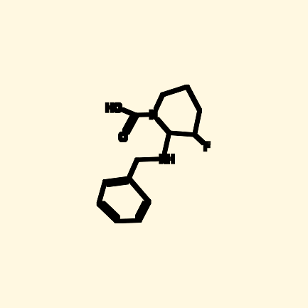 O=C(O)N1CCCC(F)C1NCc1ccccc1